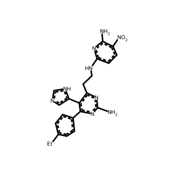 CCc1ccc(-c2nc(N)nc(CCNc3ccc([N+](=O)[O-])c(N)n3)c2-c2cnc[nH]2)cc1